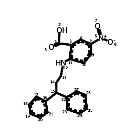 O=C(O)c1cc([N+](=O)[O-])ccc1NCCC(c1ccccc1)c1ccccc1